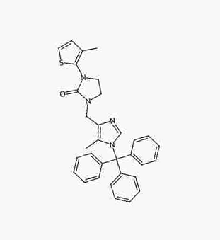 Cc1ccsc1N1CCN(Cc2ncn(C(c3ccccc3)(c3ccccc3)c3ccccc3)c2C)C1=O